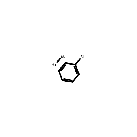 CCS.Sc1ccccc1